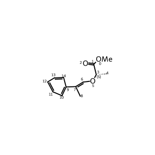 COC(=O)[C@H](C)OC=C(C)c1ccccc1